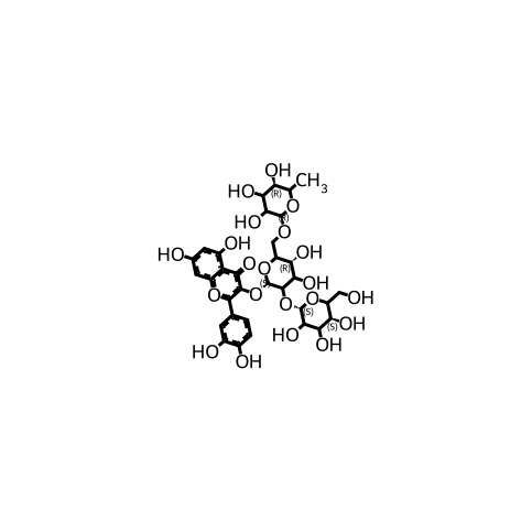 CC1O[C@@H](OCC2O[C@@H](Oc3c(-c4ccc(O)c(O)c4)oc4cc(O)cc(O)c4c3=O)C(O[C@@H]3OC(CO)[C@@H](O)C(O)C3O)C(O)[C@H]2O)C(O)C(O)[C@H]1O